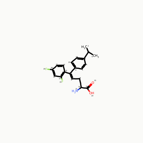 CC(C)c1ccc(/C(=C\CC(N)C(=O)O)c2ccc(F)cc2F)cc1